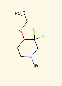 CC(C)N1CCC(OCC(=O)O)C(F)(F)C1